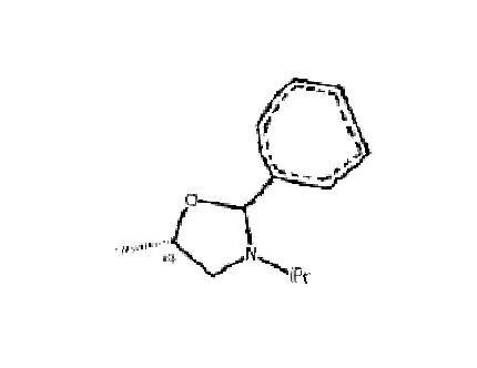 [CH2][C@H]1CN(C(C)C)C(c2ccccc2)O1